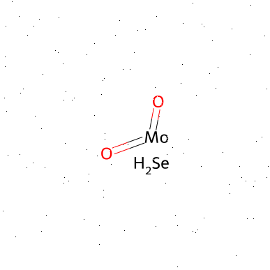 [O]=[Mo]=[O].[SeH2]